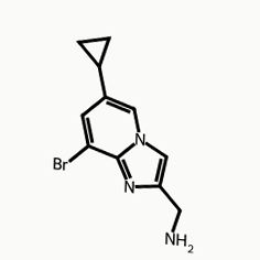 NCc1cn2cc(C3CC3)cc(Br)c2n1